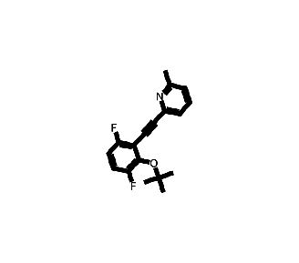 Cc1cccc(C#Cc2c(F)ccc(F)c2OC(C)(C)C)n1